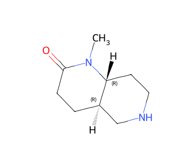 CN1C(=O)CC[C@@H]2CNCC[C@H]21